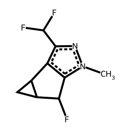 Cn1nc(C(F)F)c2c1C(F)C1CC21